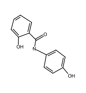 O=C([N]c1ccc(O)cc1)c1ccccc1O